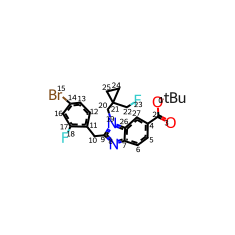 CC(C)(C)OC(=O)c1ccc2nc(Cc3ccc(Br)cc3F)n(CC3(CF)CC3)c2c1